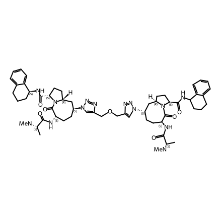 CN[C@@H](C)C(=O)N[C@H]1CC[C@H](n2cc(COCc3cn([C@H]4CC[C@H](NC(=O)[C@H](C)NC)C(=O)N5[C@H](CC[C@H]5C(=O)N[C@H]5CCCc6ccccc65)C4)nn3)nn2)C[C@H]2CC[C@@H](C(=O)NC3CCCc4ccccc43)N2C1=O